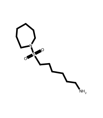 NCCCCCCS(=O)(=O)N1CCCCCC1